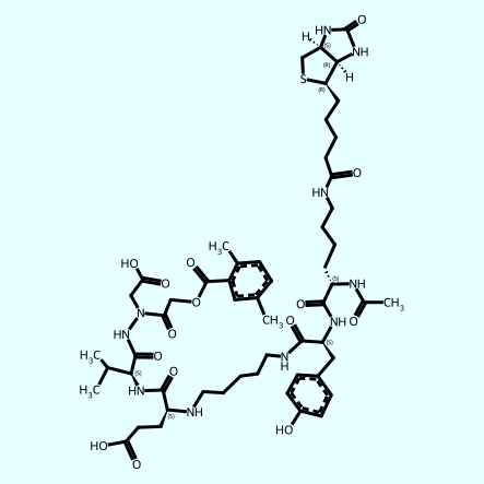 CC(=O)N[C@@H](CCCCNC(=O)CCCC[C@H]1SC[C@H]2NC(=O)N[C@H]21)C(=O)N[C@@H](Cc1ccc(O)cc1)C(=O)NCCCCCN[C@@H](CCC(=O)O)C(=O)N[C@H](C(=O)NN(CC(=O)O)C(=O)COC(=O)c1cc(C)ccc1C)C(C)C